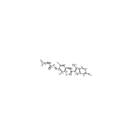 Cc1nc(NC(=O)c2sc3cc(F)ccc3c2Cl)c(C)c(C)c1OCC(=O)NC1CC1